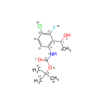 CC(O)c1c(NC(=O)OC(C)(C)C)ccc(Cl)c1F